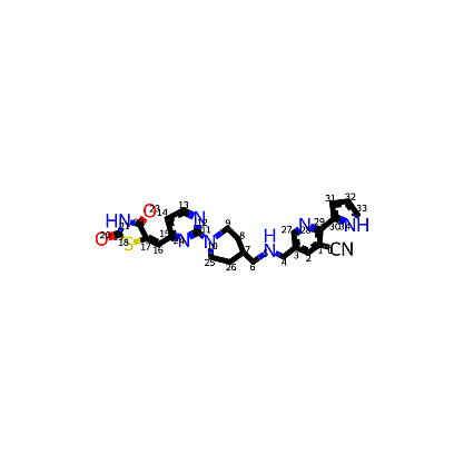 N#Cc1cc(CNCC2CCN(c3nccc(C=C4SC(=O)NC4=O)n3)CC2)cnc1-c1ccc[nH]1